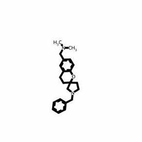 CN(C)Cc1ccc2c(c1)CCC1(CCN(Cc3ccccc3)C1)O2